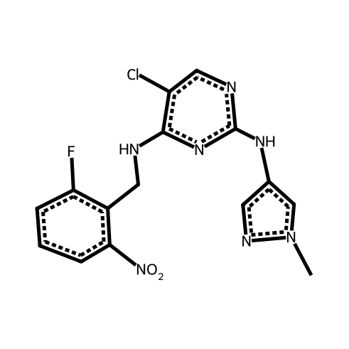 Cn1cc(Nc2ncc(Cl)c(NCc3c(F)cccc3[N+](=O)[O-])n2)cn1